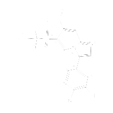 COc1cc2ncc(-c3cnc(N)c(Cl)c3)n2cc1S(=O)(=O)C(C)(C)C